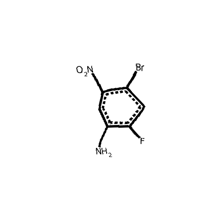 Nc1cc([N+](=O)[O-])c(Br)cc1F